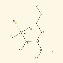 CCCCC(C(C)C)C(C)C(C)(C)F